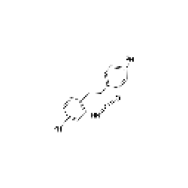 N=C=O.[2H]c1ccc(CCc2ccc([2H])cc2)cc1